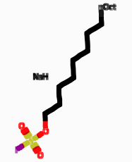 CCCCCCCCCCCCCCCCOS(=O)(=O)I.[NaH]